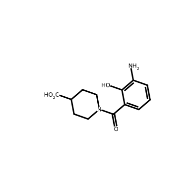 Nc1cccc(C(=O)N2CCC(C(=O)O)CC2)c1O